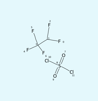 FC(F)C(F)(F)F.O=S(=O)(Cl)Cl